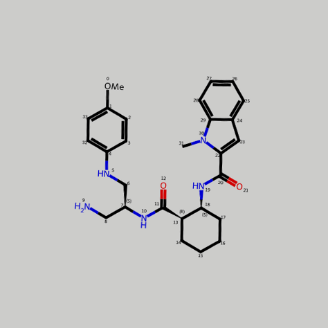 COc1ccc(NC[C@H](CN)NC(=O)[C@@H]2CCCC[C@@H]2NC(=O)c2cc3ccccc3n2C)cc1